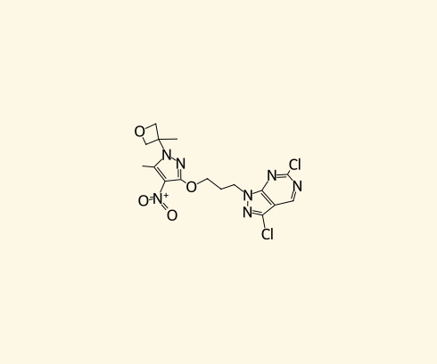 Cc1c([N+](=O)[O-])c(OCCCn2nc(Cl)c3cnc(Cl)nc32)nn1C1(C)COC1